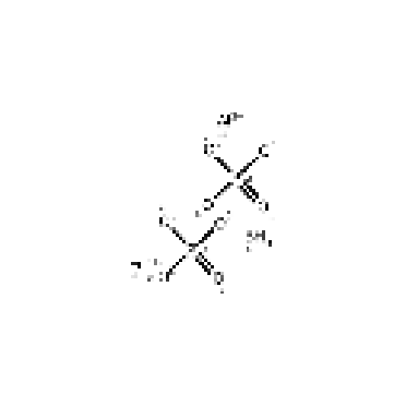 B.O=P([O-])([O-])[O-].O=P([O-])([O-])[O-].[Al+3].[Fe+3]